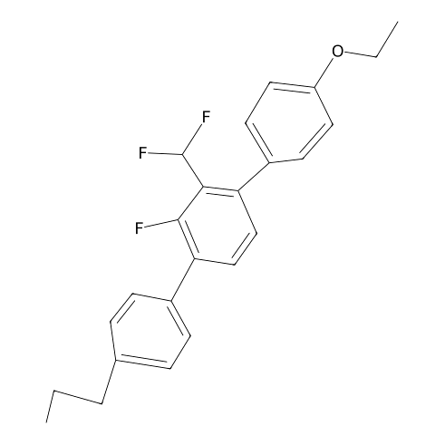 CCCc1ccc(-c2ccc(-c3ccc(OCC)cc3)c(C(F)F)c2F)cc1